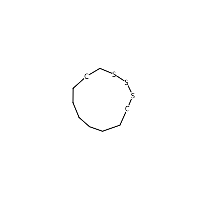 C1CCCCSSSCCCC1